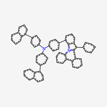 c1ccc(-c2c3cccc(-c4ccc(N(c5ccc(-c6cccc7ccccc67)cc5)c5ccc(-c6cccc7ccccc67)cc5)cc4)c3n3c4ccccc4c4ccccc4c23)cc1